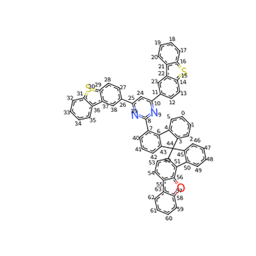 c1ccc2c(c1)-c1c(-c3nc(-c4ccc5sc6ccccc6c5c4)cc(-c4ccc5sc6ccccc6c5c4)n3)cccc1C21c2ccccc2-c2c1ccc1c2oc2ccccc21